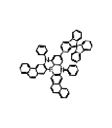 c1ccc(N2c3cc4c(ccc5ccccc54)cc3B3c4cc5ccc6ccccc6c5cc4N(c4ccccc4)c4cc(-c5ccc6c(c5)C5(c7ccccc7-c7ccccc75)c5ccccc5-6)cc2c43)cc1